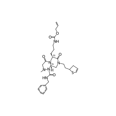 C=CCOC(=O)NCCC[C@H]1C(=O)N(CCC2CC=CS2)C[C@H]2N1C(=O)CN(C)N2C(=O)NCc1ccccc1